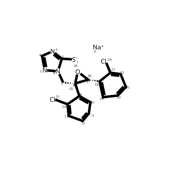 [Na+].[S-]c1ncnn1C[C@]1(c2ccccc2Cl)O[C@@H]1c1ccccc1Cl